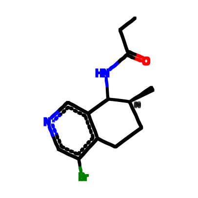 CCC(=O)NC1c2cncc(Br)c2CC[C@@H]1C